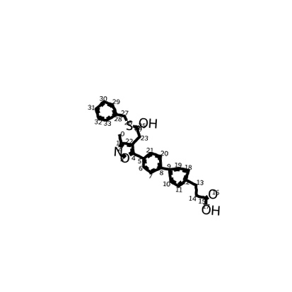 Cc1noc(-c2ccc(-c3ccc(CCC(=O)O)cc3)cc2)c1C[C@@H](O)SCc1ccccc1